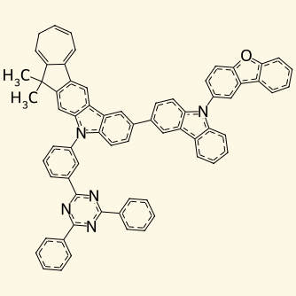 CC1(C)C2=CCC=CC=C2c2cc3c4cc(-c5ccc6c(c5)c5ccccc5n6-c5ccc6oc7ccccc7c6c5)ccc4n(-c4cccc(-c5nc(-c6ccccc6)nc(-c6ccccc6)n5)c4)c3cc21